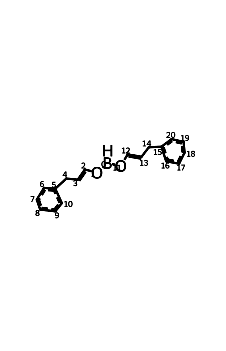 B(OC=CCc1ccccc1)OC=CCc1ccccc1